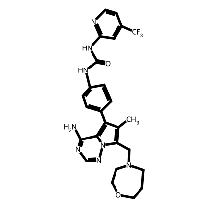 Cc1c(-c2ccc(NC(=O)Nc3cc(C(F)(F)F)ccn3)cc2)c2c(N)ncnn2c1CN1CCCOCC1